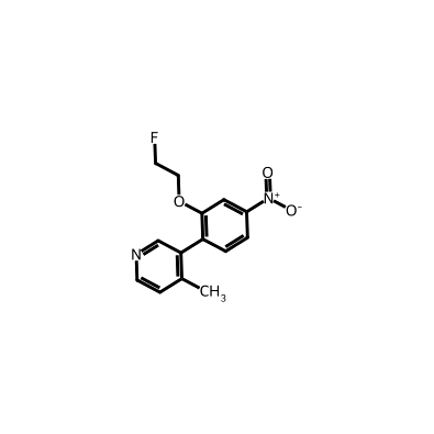 Cc1ccncc1-c1ccc([N+](=O)[O-])cc1OCCF